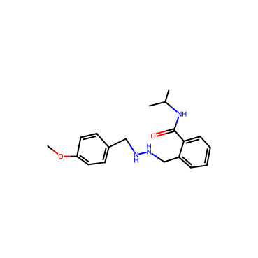 COc1ccc(CNNCc2ccccc2C(=O)NC(C)C)cc1